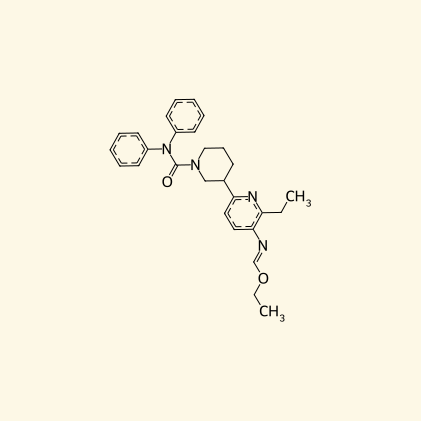 CCO/C=N/c1ccc(C2CCCN(C(=O)N(c3ccccc3)c3ccccc3)C2)nc1CC